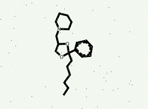 CCCCCCC1(c2ccccc2)OCC(CN2CCCCC2)O1